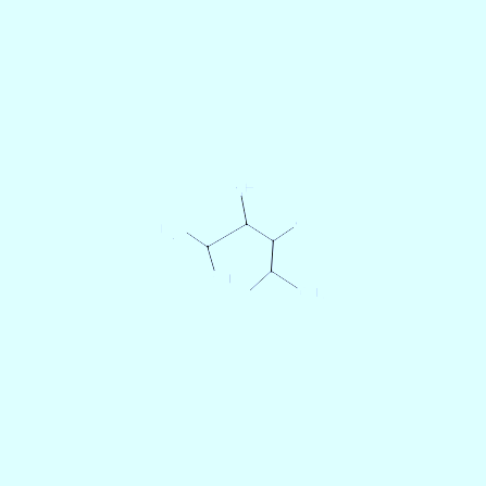 CC(P)C(C)C(C)C(C)S